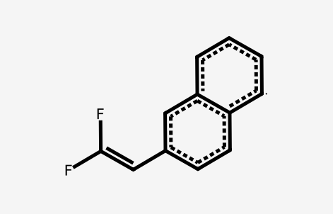 FC(F)=Cc1ccc2[c]cccc2c1